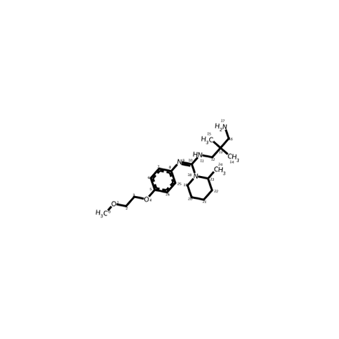 COCCOc1ccc(/N=C(/NCC(C)(C)CN)N2CCCCC2C)cc1